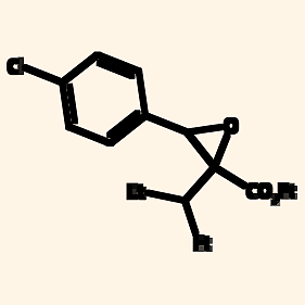 CCOC(=O)C1(C(CC)CC)OC1c1ccc(Cl)cc1